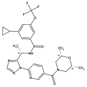 C[C@@H]1CN(C(=O)c2ccc(-n3ncnc3[C@H](C)NC(=O)c3cc(OC(F)(F)F)cc(C4CC4)c3)nc2)C[C@H](C)O1